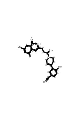 Cc1cc(F)cc2c(=O)[nH]c(CCC(=O)N3CC=C(c4cc(C#N)ccc4F)CC3)cc12